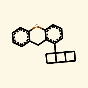 c1ccc2c(c1)Cc1c(cccc1C13C4C5C6C4C1C6C53)S2